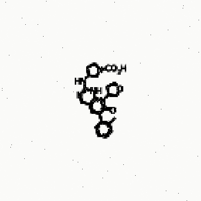 Cc1ccccc1-c1cc2c(n(C3CCOC3)c1=O)NC(N[C@H]1CCN(C(=O)O)C1)=NC2